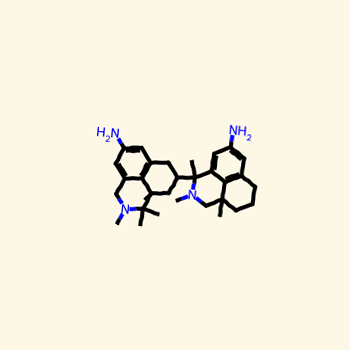 CN1CC2(C)CCCc3cc(N)cc(c32)C1(C)C1Cc2cc(N)cc3c2C(C)(C1)C(C)(C)N(C)C3